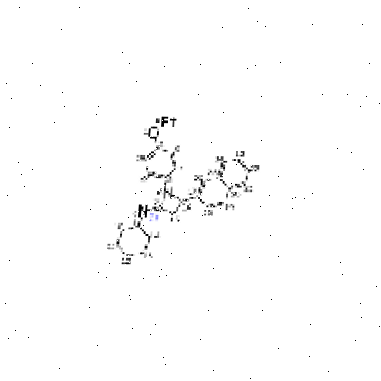 CCOc1ccc(N2/C(=N/C3CCCCC3)CC2c2ccc3ccccc3c2)cc1